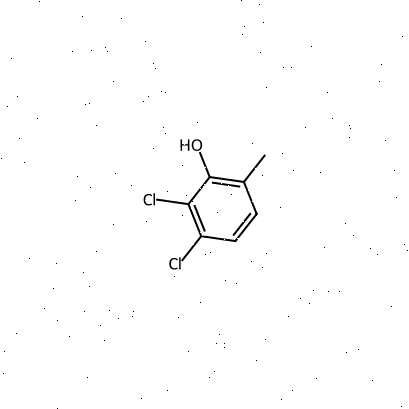 Cc1ccc(Cl)c(Cl)c1O